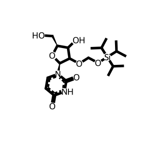 CC(C)[Si](OCOC1C(O)[C@H](CO)O[C@@H]1n1ccc(=O)[nH]c1=O)(C(C)C)C(C)C